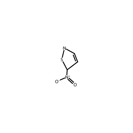 O=[N+]([O-])C1C=C[N]S1